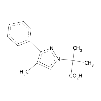 Cc1cn(C(C)(C)C(=O)O)nc1-c1ccccc1